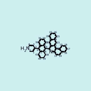 C/C=C(\C=C/N)c1c2c(c(-c3nc4ccc5ccccc5c4c4cc5ccccc5cc34)c3ccccc13)CCC=C2